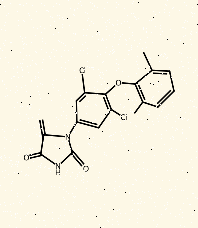 C=C1C(=O)NC(=O)N1c1cc(Cl)c(Oc2c(C)cccc2C)c(Cl)c1